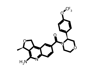 C[C@H]1OCc2c1c(N)nc1ccc(C(=O)N3CCOC[C@@H]3c3ccc(OC(F)(F)F)cc3)cc21